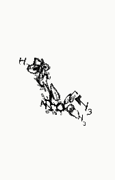 COc1cc2ncn3ncc(C(=O)N4CCN(S(N)(=O)=O)CC4)c3c2cc1OC